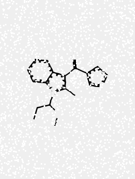 CCC(OC)n1c(C)c(C(=O)c2ccsc2)c2ccccc21